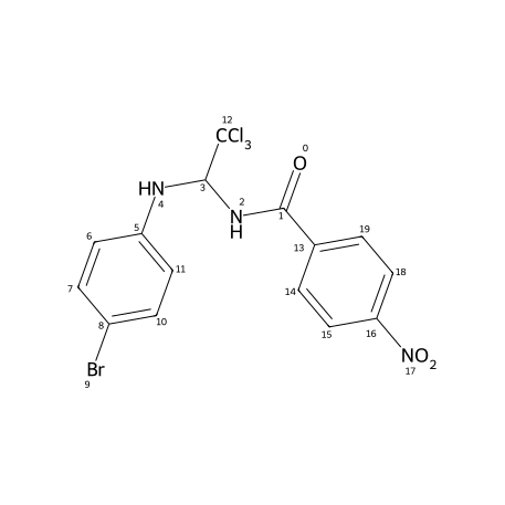 O=C(NC(Nc1ccc(Br)cc1)C(Cl)(Cl)Cl)c1ccc([N+](=O)[O-])cc1